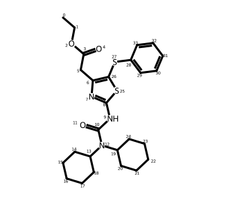 CCOC(=O)Cc1nc(NC(=O)N(C2CCCCC2)C2CCCCC2)sc1Sc1ccccc1